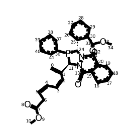 C=C(/C=C\C=C/CC(=O)OC)[C@@H]1n2c(=O)c3ccccc3c(=O)n2[C@@H](c2ccccc2C(=O)OC)P1c1ccccc1